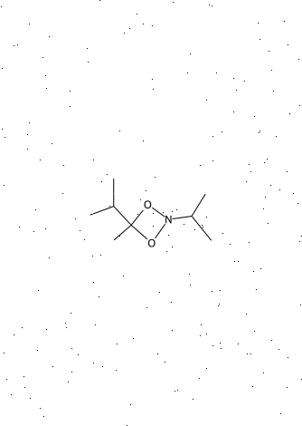 CC(C)N1OC(C)(C(C)C)O1